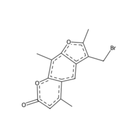 Cc1oc2c(C)c3oc(=O)cc(C)c3cc2c1CBr